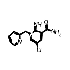 N=c1c(C(N)=O)cc(Cl)cn1Cc1ccccn1